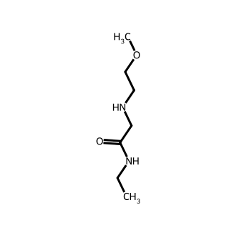 CCNC(=O)CNCCOC